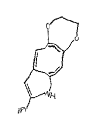 CC(C)c1cc2cc3c(cc2[nH]1)OCCO3